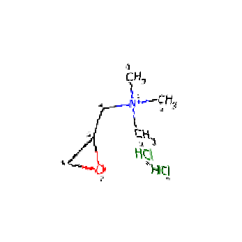 C[N+](C)(C)CC1CO1.Cl.Cl